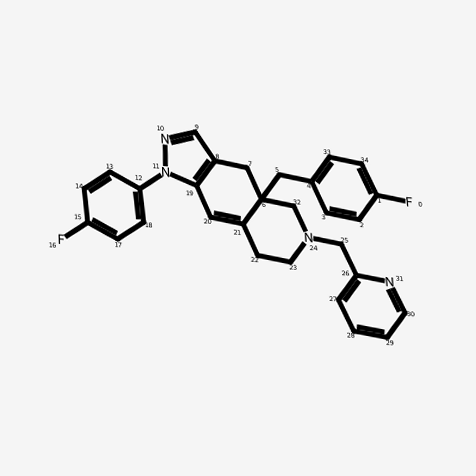 Fc1ccc(CC23Cc4cnn(-c5ccc(F)cc5)c4C=C2CCN(Cc2ccccn2)C3)cc1